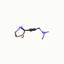 CN(C)CC#Cc1nccs1